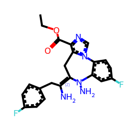 CCOC(=O)c1ncn2c1C/C(=C(/N)Cc1ccc(F)cc1)N(N)c1cc(F)ccc1-2